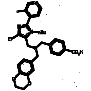 CCCCn1c(-c2ccccc2C)nc(Cl)c1CN(Cc1ccc(C(=O)O)cc1)Cc1ccc2c(c1)OCCO2